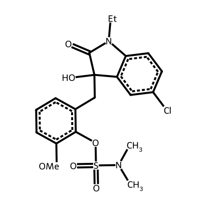 CCN1C(=O)C(O)(Cc2cccc(OC)c2OS(=O)(=O)N(C)C)c2cc(Cl)ccc21